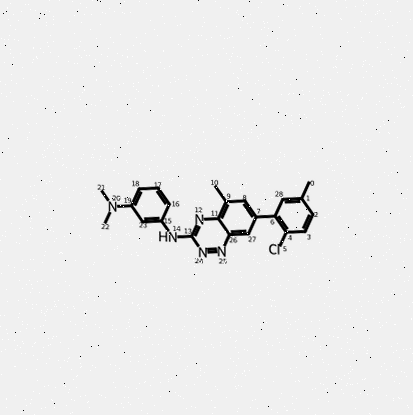 Cc1ccc(Cl)c(-c2cc(C)c3nc(Nc4cccc(N(C)C)c4)nnc3c2)c1